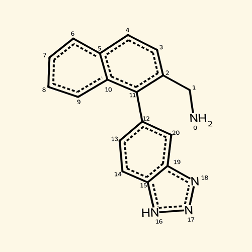 NCc1ccc2ccccc2c1-c1ccc2[nH]nnc2c1